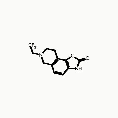 O=c1[nH]c2ccc3c(c2o1)CCN(CC(F)(F)F)C3